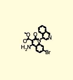 COC(=O)c1c(N)c2ccc(Br)cc2n(-c2cncc3ccccc23)c1=O